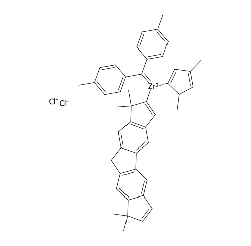 CC1=CC(C)[C]([Zr+2]([C]2=Cc3cc4c(cc3C2(C)C)Cc2cc3c(cc2-4)C=CC3(C)C)=[C](c2ccc(C)cc2)c2ccc(C)cc2)=C1.[Cl-].[Cl-]